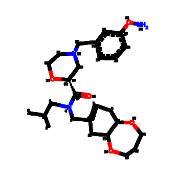 CC(C)CN(CC1=CCC2OCCCOC2C1)C(=O)[C@H]1CN(Cc2cccc(ON)c2)CCO1